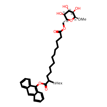 CCCCCCC(CCCCCCCCCCC(=O)OC[C@H]1O[C@H](OC)[C@H](O)[C@@H](O)[C@@H]1O)C(=O)Oc1c2ccccc2cc2ccccc12